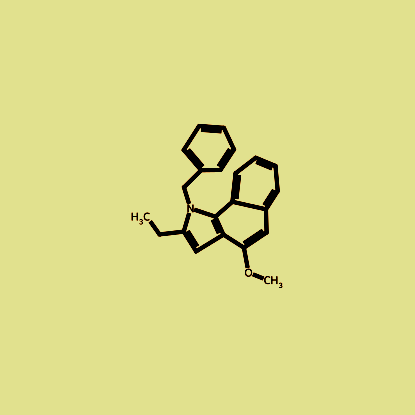 CCc1cc2c(OC)cc3ccccc3c2n1Cc1ccccc1